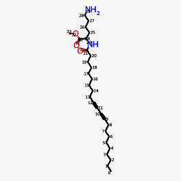 CCCCCCCCCC#CC#CCCCCCCCCC(=O)NC(CCCCN)C(=O)OC